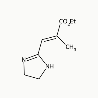 CCOC(=O)C(C)=CC1=NCCN1